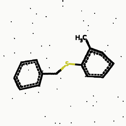 Cc1ccc[c]c1SCc1ccccc1